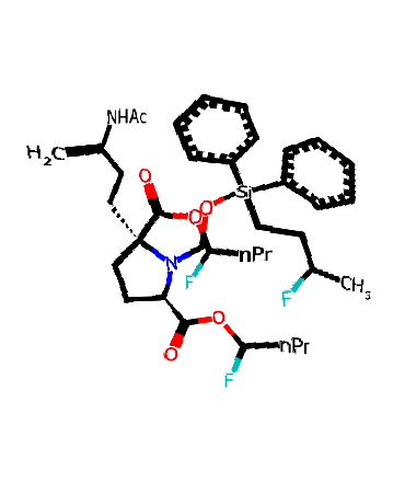 C=C(CC[C@@]1(C(=O)OC(F)CCC)CC[C@H](C(=O)OC(F)CCC)N1CO[Si](CCC(C)F)(c1ccccc1)c1ccccc1)NC(C)=O